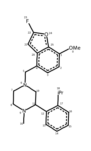 COc1ccc(CN2CCN(C)C(c3ccccc3C(C)C)C2)c2cc(F)oc12